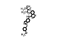 COc1cccc(Cn2ncc3cc(Nc4ncnc5cccc(O[C@H](C)C(=O)N(C)C)c45)ccc32)c1